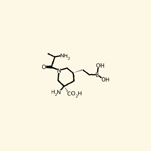 CC(N)C(=O)N1C[C@H](CCB(O)O)C[C@](N)(C(=O)O)C1